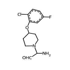 NC(C=O)N1CCC(Oc2cc(F)ccc2Cl)CC1